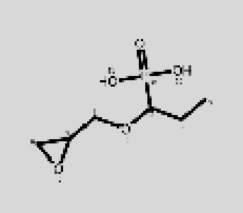 CCC(OCC1CO1)P(=O)(O)O